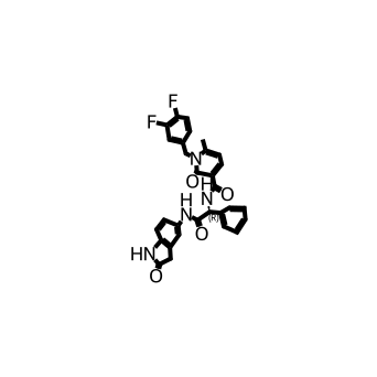 Cc1ccc(C(=O)N[C@@H](C(=O)Nc2ccc3c(c2)CC(=O)N3)c2ccccc2)c(=O)n1Cc1ccc(F)c(F)c1